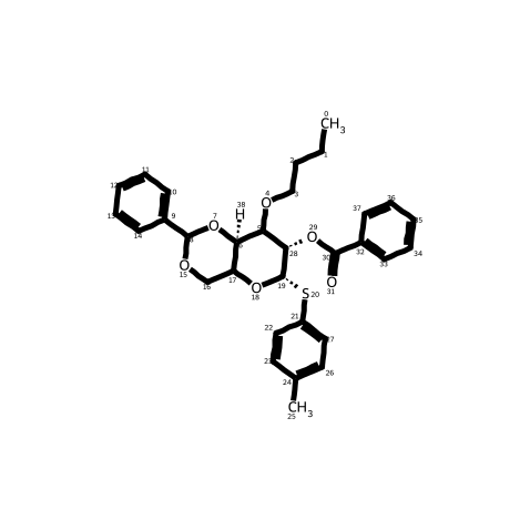 CCCCOC1[C@@H]2OC(c3ccccc3)OCC2O[C@@H](Sc2ccc(C)cc2)[C@H]1OC(=O)c1ccccc1